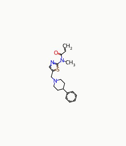 C=CC(=O)N(C)c1ncc(CN2CCC(c3ccccc3)CC2)s1